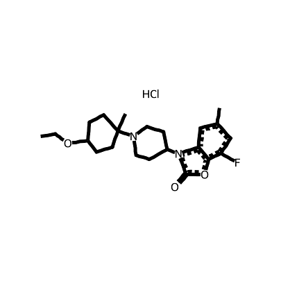 CCOC1CCC(C)(N2CCC(n3c(=O)oc4c(F)cc(C)cc43)CC2)CC1.Cl